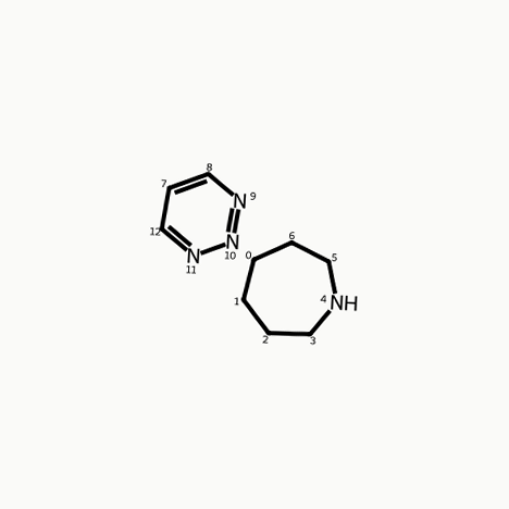 C1CCCNCC1.c1cnnnc1